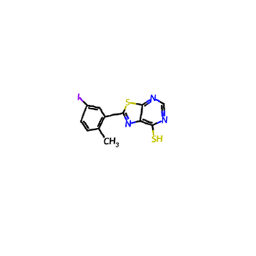 Cc1ccc(I)cc1-c1nc2c(S)ncnc2s1